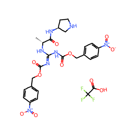 C[C@@H](N/C(=N\C(=O)OCc1ccc([N+](=O)[O-])cc1)NC(=O)OCc1ccc([N+](=O)[O-])cc1)C(=O)N[C@H]1CCNC1.O=C(O)C(F)(F)F